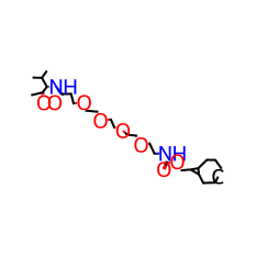 CC(=O)[C@@H](NC(=O)CCOCCOCCOCCOCCNC(=O)OCC1C2CCCCCCC21)C(C)C